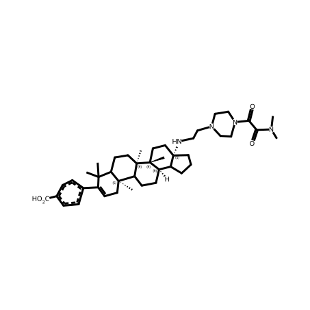 CN(C)C(=O)C(=O)N1CCN(CCN[C@]23CCCC2[C@H]2CCC4[C@@]5(C)CC=C(c6ccc(C(=O)O)cc6)C(C)(C)C5CC[C@@]4(C)[C@]2(C)CC3)CC1